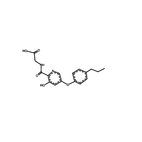 CCCc1ccc(Oc2cnc(C(=O)NCC(=O)O)c(O)c2)cc1